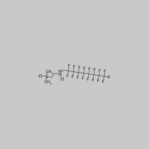 C[Si](C)(Cl)CC[SiH](Cl)CC(F)(F)C(F)(F)C(F)(F)C(F)(F)C(F)(F)C(F)(F)C(F)(F)C(F)(F)F